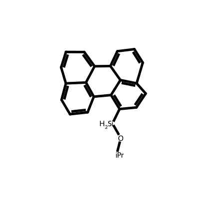 CC(C)O[SiH2]c1ccc2cccc3c4cccc5cccc(c1c23)c54